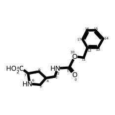 O=C(NCC1CNC(C(=O)O)C1)OCc1ccccc1